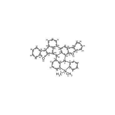 C[Si]1(C)c2ccccc2N2c3c(cccc31)B1c3c(cc4c(oc5ccccc54)c32)-c2cccc3c4c5ccccc5oc4n1c23